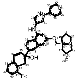 OC1(c2cc3nc(OC[C@@]45CCCN4C[C@H](F)C5)nc(Nc4cnn(-c5ccncc5)c4)c3cn2)C=Cc2cccc(F)c2C1